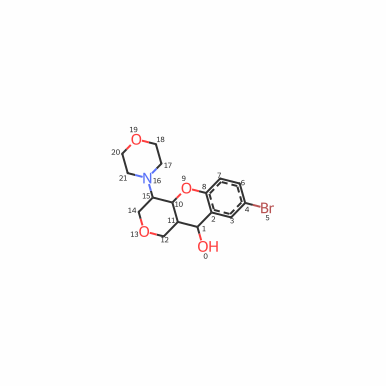 OC1c2cc(Br)ccc2OC2C1COCC2N1CCOCC1